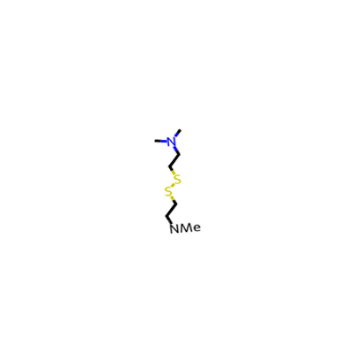 CNCCSSCCN(C)C